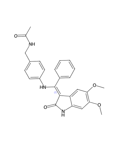 COc1cc2c(cc1OC)/C(=C(/Nc1ccc(CNC(C)=O)cc1)c1ccccc1)C(=O)N2